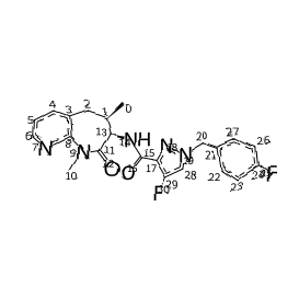 C[C@@H]1Cc2cccnc2N(C)C(=O)[C@@H]1NC(=O)c1nn(Cc2ccc(F)cc2)cc1F